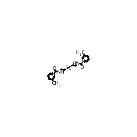 Cc1ccc[n+](C(=O)NCCSSCCNC(=O)[n+]2cccc(C)c2)c1